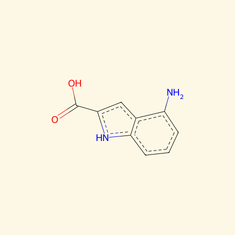 Nc1cccc2[nH]c(C(=O)O)cc12